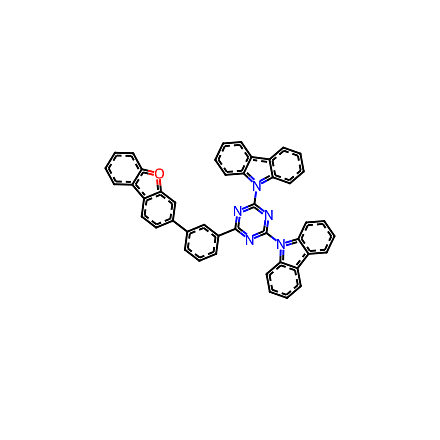 c1cc(-c2ccc3c(c2)oc2ccccc23)cc(-c2nc(-n3c4ccccc4c4ccccc43)nc(-n3c4ccccc4c4ccccc43)n2)c1